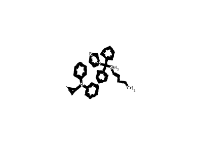 CCCC=C[SiH2]C(c1ccccc1)(c1ccccc1)n1ccnc1.c1ccc(B(c2ccccc2)C2CC2)cc1